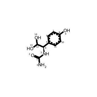 NC(=O)N[C@H](c1ccc(O)cc1)C(O)O